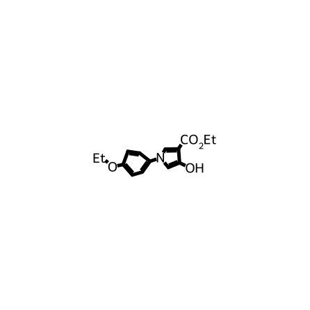 CCOC(=O)c1cn(-c2ccc(OCC)cc2)cc1O